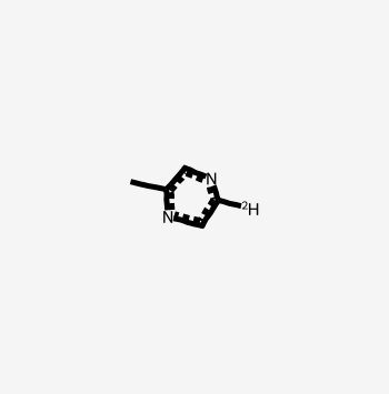 [2H]c1cnc(C)cn1